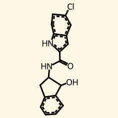 O=C(NC1Cc2ccccc2C1O)c1cc2cc(Cl)ccc2[nH]1